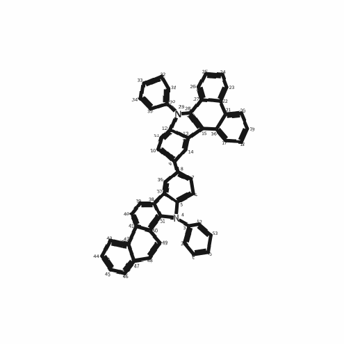 c1ccc(-n2c3ccc(-c4ccc5c(c4)c4c6ccccc6c6ccccc6c4n5-c4ccccc4)cc3c3ccc4c5ccccc5ccc4c32)cc1